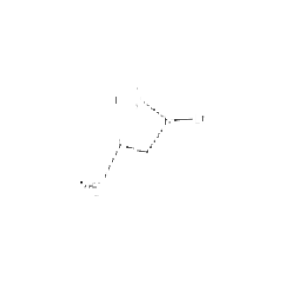 CCN(CCSC)S(=O)(=O)O